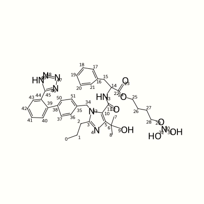 CCCc1nc(C(C)(C)O)c(C(=O)NC(Cc2ccccc2)C(=O)OCCCCON(O)O)n1Cc1ccc(-c2ccccc2-c2nnn[nH]2)cc1